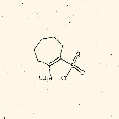 O=C(O)C1=C(S(=O)(=O)Cl)CCCCC1